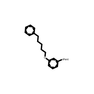 [CH2]CCCCc1cccc(OCCCCCc2ccccc2)c1